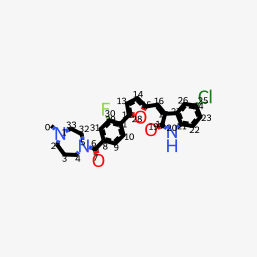 CN1CCCN(C(=O)c2ccc(-c3ccc(/C=C4\C(=O)Nc5ccc(Cl)cc54)o3)c(F)c2)CC1